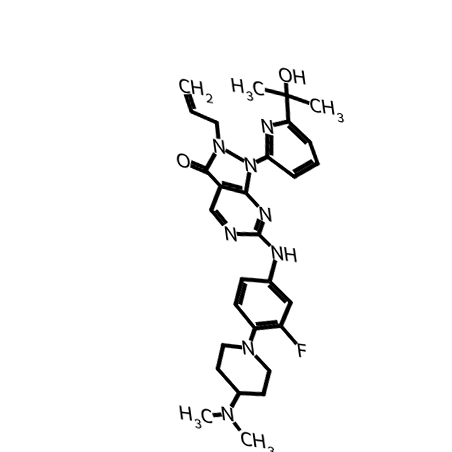 C=CCn1c(=O)c2cnc(Nc3ccc(N4CCC(N(C)C)CC4)c(F)c3)nc2n1-c1cccc(C(C)(C)O)n1